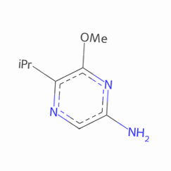 COc1nc(N)cnc1C(C)C